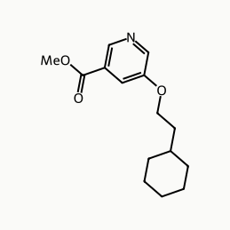 COC(=O)c1cncc(OCCC2CCCCC2)c1